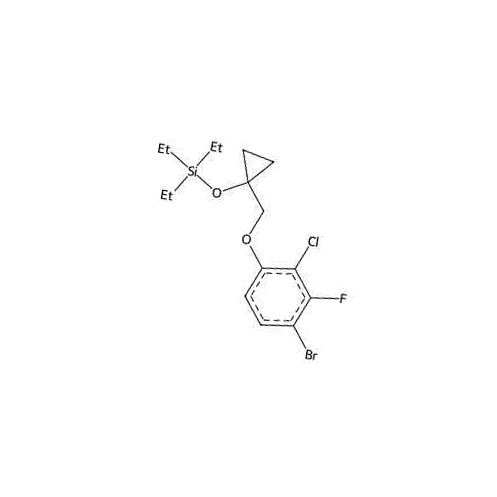 CC[Si](CC)(CC)OC1(COc2ccc(Br)c(F)c2Cl)CC1